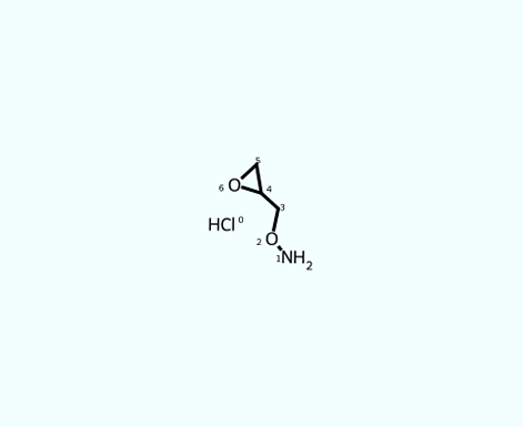 Cl.NOCC1CO1